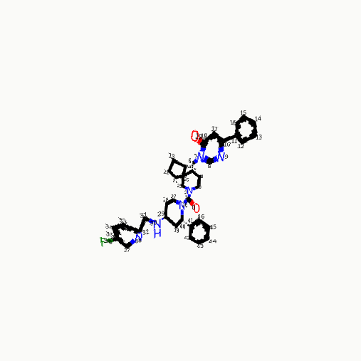 O=C(N1CC[C@@H](Cn2cnc(-c3ccccc3)cc2=O)C2(CCCC2)C1)N1CC[C@@H](NCc2ccc(F)cn2)C[C@H]1c1ccccc1